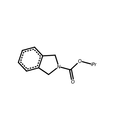 CC(C)OC(=O)N1Cc2ccccc2C1